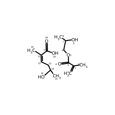 C=C(C)C(=O)OCC(C)O.CC(=CCC(C)O)C(=O)O